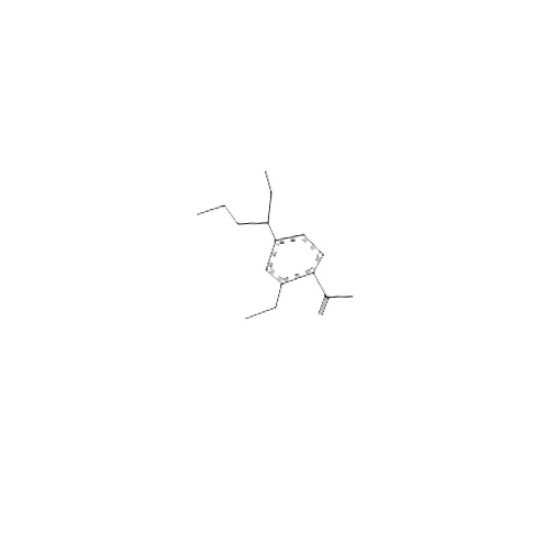 CCCC(CC)c1ccc(C(C)=O)c(CC)c1